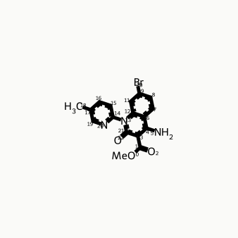 COC(=O)c1c(N)c2ccc(Br)cc2n(-c2ccc(C)cn2)c1=O